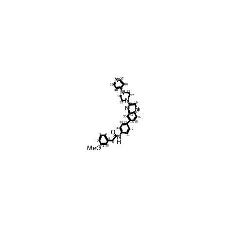 COc1cccc(CC(=O)Nc2ccc(-c3ccc4ncc(N5CCN(c6ccncc6)CC5)nc4c3)cc2)c1